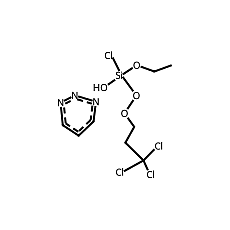 CCO[Si](O)(Cl)OOCCC(Cl)(Cl)Cl.c1cnnnc1